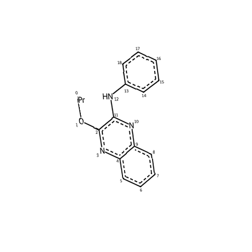 CC(C)Oc1nc2ccccc2nc1Nc1ccccc1